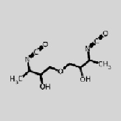 CC(N=C=O)C(O)COCC(O)C(C)N=C=O